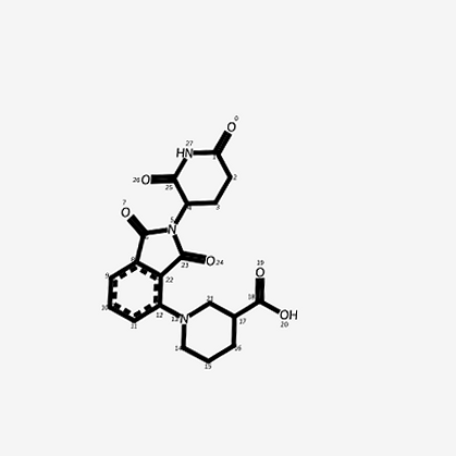 O=C1CCC(N2C(=O)c3cccc(N4CCCC(C(=O)O)C4)c3C2=O)C(=O)N1